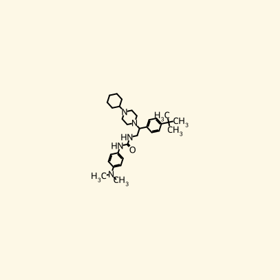 CN(C)c1ccc(NC(=O)NCC(c2ccc(C(C)(C)C)cc2)N2CCN(C3CCCCC3)CC2)cc1